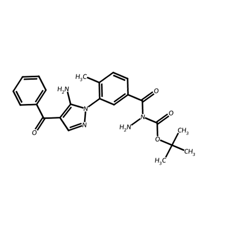 Cc1ccc(C(=O)N(N)C(=O)OC(C)(C)C)cc1-n1ncc(C(=O)c2ccccc2)c1N